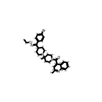 CCON=C(c1ccc(Br)cc1)C1CCN(C2(C)CCN(C(=O)c3cc(C)nc4ccccc34)CC2)CC1